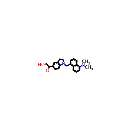 CN(C)c1cccc2c(CN3CCc4cc(C(=O)CO)ccc43)cccc12